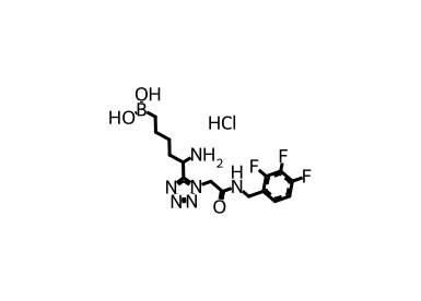 Cl.NC(CCCCB(O)O)c1nnnn1CC(=O)NCc1ccc(F)c(F)c1F